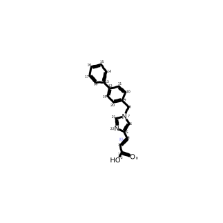 O=C(O)/C=C/c1cn(Cc2ccc(-c3ccccc3)cc2)cn1